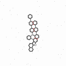 c1ccc(-c2ccc(-c3ccc(N(c4ccccc4-c4ccc(-c5ccccc5)cc4)c4ccccc4-c4cccc5oc6c7ccccc7ccc6c45)cc3)cc2)cc1